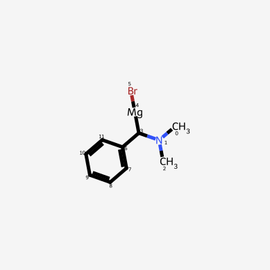 CN(C)[CH]([Mg][Br])c1ccccc1